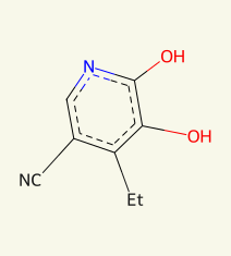 CCc1c(C#N)cnc(O)c1O